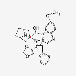 COc1ccc2ncc(Cl)c(C(O)CN3C4CCC3CC(NC(Cc3ccccc3)C3=COCO3)C4)c2c1